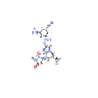 CNc1cc(C#N)cc(NCc2cn3cc(C4CC4)cc(N4CC(=O)N(C)C4=O)c3n2)c1